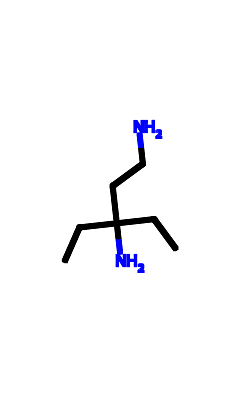 CCC(N)(CC)CCN